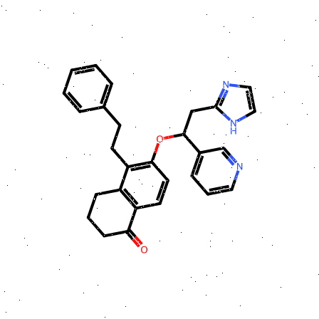 O=C1CCCc2c1ccc(OC(Cc1ncc[nH]1)c1cccnc1)c2CCc1ccccc1